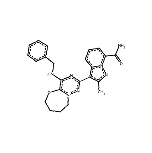 Cc1nn2c(C(N)=O)cccc2c1-c1nc(NCc2ccccc2)c2[n+](n1)CCCCO2